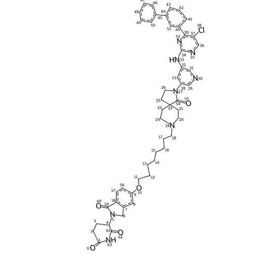 O=C1CCC(N2Cc3cc(OCCCCCCCCN4CCC5(CC4)CCN(c4cncc(Nc6ncc(Cl)c(-c7cccc(-c8ccccc8)c7)n6)c4)C5=O)ccc3C2=O)C(=O)N1